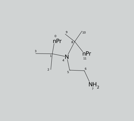 CCCC(C)(C)N(CCN)C(C)(C)CCC